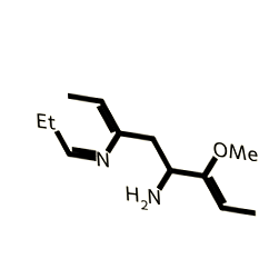 C/C=C(CC(N)/C(=C/C)OC)\N=C/CC